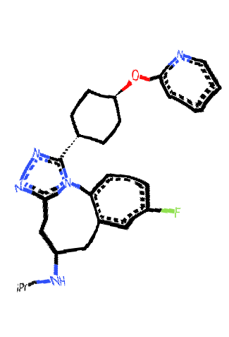 CC(C)NC1Cc2cc(F)ccc2-n2c(nnc2[C@H]2CC[C@H](Oc3ccccn3)CC2)C1